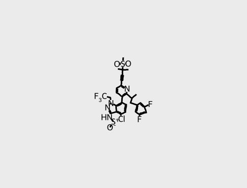 CC(Cc1cc(F)cc(F)c1)c1nc(C#CC(C)(C)S(C)(=O)=O)ccc1-c1ccc(Cl)c2c(N[S+](C)[O-])nn(CC(F)(F)F)c12